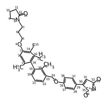 Cc1cc(OCCCN2CCCC2=O)c(F)c(C)c1-c1cccc(COc2ccc(-c3cc(O)n[s+]3[O-])cc2)c1C